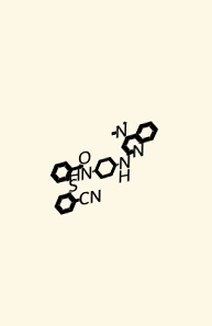 CN(C)c1cc(N[C@H]2CC[C@@H](NC(=O)c3ccccc3Sc3ccccc3C#N)CC2)nc2ccccc12